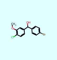 COc1cc(C(O)c2ccc(Br)cc2)ccc1Cl